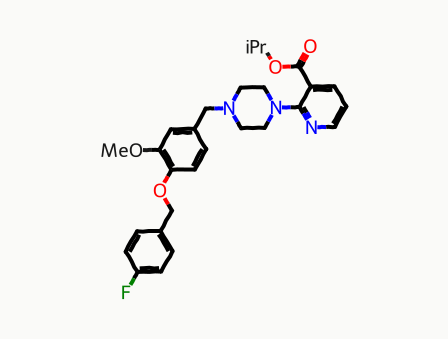 COc1cc(CN2CCN(c3ncccc3C(=O)OC(C)C)CC2)ccc1OCc1ccc(F)cc1